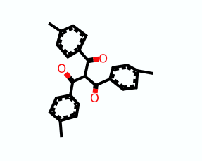 Cc1ccc(C(=O)C(C(=O)c2ccc(C)cc2)C(=O)c2ccc(C)cc2)cc1